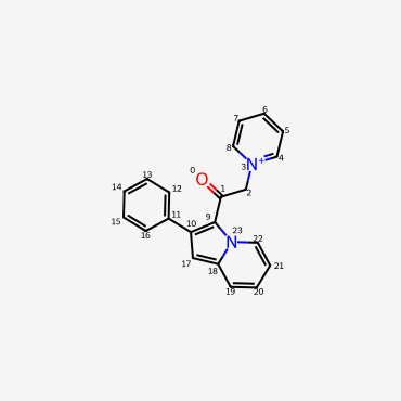 O=C(C[n+]1ccccc1)c1c(-c2ccccc2)cc2ccccn12